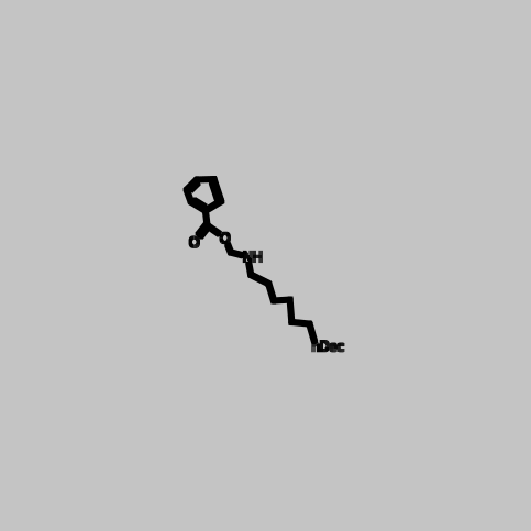 CCCCCCCCCCCCCCCCNCOC(=O)c1ccccc1